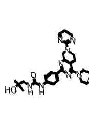 CC(C)(O)CNC(=O)Nc1ccc(-c2nc3c(c(N4CCOCC4)n2)CCN(c2ncccn2)C3)cc1